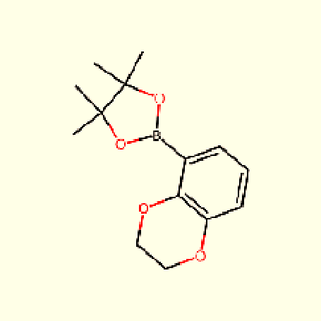 CC1(C)OB(c2cccc3c2OCCO3)OC1(C)C